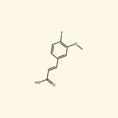 COc1cc(C=CC(=O)O)ccc1F